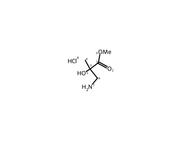 COC(=O)C(C)(O)CN.Cl